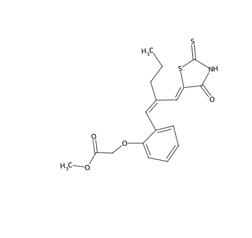 CCCC(=Cc1ccccc1OCC(=O)OC)C=C1SC(=S)NC1=O